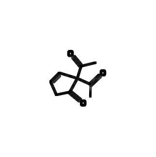 CC(=O)C1(C(C)=O)C=CCC1=O